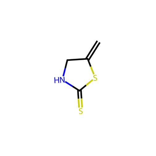 C=C1CNC(=S)S1